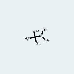 CCCN(CCC)C(C)(C)[C]=O